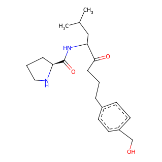 CC(C)CC(NC(=O)[C@@H]1CCCN1)C(=O)CCCc1ccc(CO)cc1